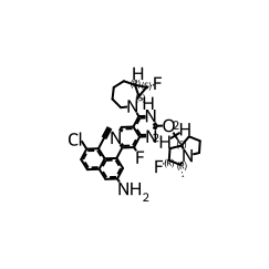 [2H]C([2H])(Oc1nc(N2CCCC[C@H]3[C@H](F)[C@H]32)c2cnc(-c3cc(N)cc4ccc(Cl)c(C#C)c34)c(F)c2n1)[C@@]12CCCN1[C@H](C)[C@H](F)C2